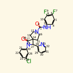 O=C(Nc1ccc(F)c(F)c1)N1CCC2(CC1)C(=O)N(c1cccc(Cl)c1)C2c1ccccn1